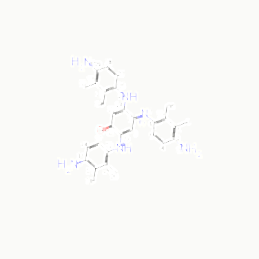 Cc1c(N)ccc(/N=C2\C=C(Nc3ccc(N)c(C)c3C)C(=O)C=C2Nc2ccc(N)c(C)c2C)c1C